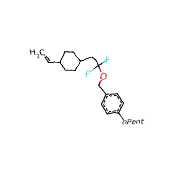 C=CC1CCC(CC(F)(F)OCc2ccc(CCCCC)cc2)CC1